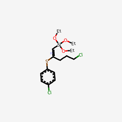 CCO[Si](/C=C(\CCCCl)Sc1ccc(Cl)cc1)(OCC)OCC